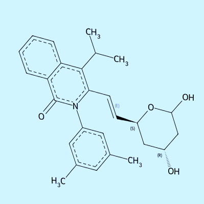 Cc1cc(C)cc(-n2c(/C=C/[C@@H]3C[C@@H](O)CC(O)O3)c(C(C)C)c3ccccc3c2=O)c1